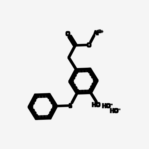 O=C(Cc1ccc(O)c(Sc2ccccc2)c1)[O][Al+2].[OH-].[OH-]